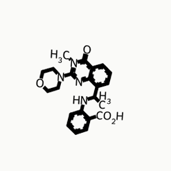 CC(Nc1ccccc1C(=O)O)c1cccc2c(=O)n(C)c(N3CCOCC3)nc12